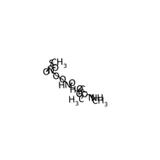 CN/N=C/c1cc(C)c(OC(=O)CCCC(=O)NCCOCCOCCN2C(=O)CC(SC)C2=O)c(C)c1